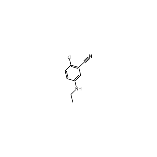 CCNc1ccc(Cl)c(C#N)c1